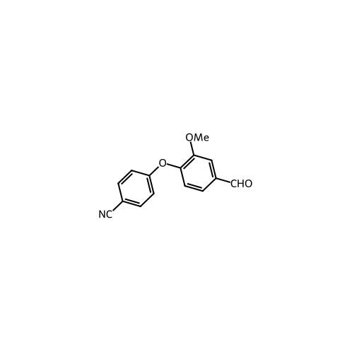 COc1cc(C=O)ccc1Oc1ccc(C#N)cc1